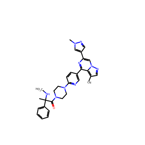 Cn1cc(-c2cn3ncc(C#N)c3c(-c3ccc(N4CCN(C(=O)C(C)(NC(=O)O)c5ccccc5)CC4)nc3)n2)cn1